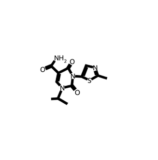 Cc1ncc(-n2c(=O)c(C(N)=O)cn(C(C)C)c2=O)s1